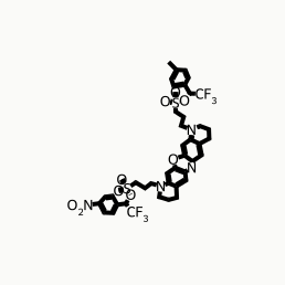 Cc1ccc(C(OS(=O)(=O)CCC[N+]2=c3cc4c(cc3CCC2)=Nc2cc3c(cc2O4)N(CCCS(=O)(=O)OC(c2ccc([N+](=O)[O-])cc2)C(F)(F)F)CCC3)C(F)(F)F)cc1